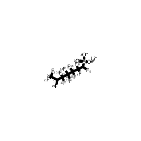 O=S(=O)([O-])C(F)C(F)(F)C(F)(F)C(F)(F)C(F)(F)C(F)C(F)F.[Li+]